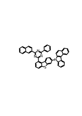 c1ccc(-c2nc(-c3ccc4ccccc4c3)nc(-c3cccc4sc5cc(-n6c7ccccc7c7c8ccccc8ccc76)ccc5c34)n2)cc1